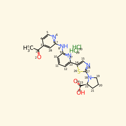 CC(=O)c1ccnc(Nc2cccc(-c3cnc(N4CCC[C@H]4C(=O)O)s3)n2)c1.Cl.Cl